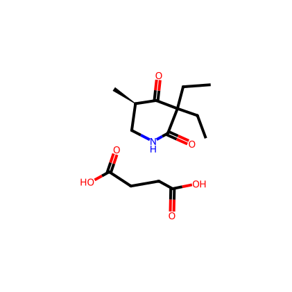 CCC1(CC)C(=O)NC[C@@H](C)C1=O.O=C(O)CCC(=O)O